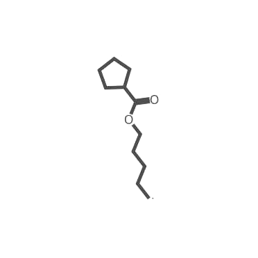 [CH2]CCCCOC(=O)C1CCCC1